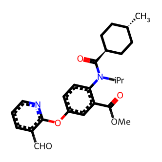 COC(=O)c1cc(Oc2ncccc2C=O)ccc1N(C(=O)[C@H]1CC[C@H](C)CC1)C(C)C